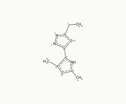 CCc1nnc(-c2[nH]c(C)[c]c2C)o1